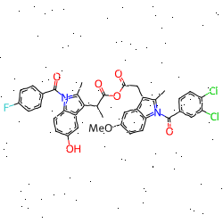 COc1ccc2c(c1)c(CC(=O)OC(=O)C(C)c1c(C)n(C(=O)c3ccc(F)cc3)c3ccc(O)cc13)c(C)n2C(=O)c1ccc(Cl)c(Cl)c1